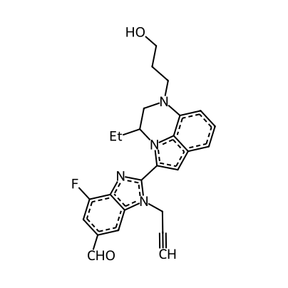 C#CCn1c(-c2cc3cccc4c3n2C(CC)CN4CCCO)nc2c(F)cc(C=O)cc21